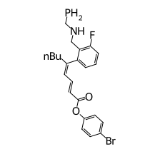 CCCCC(=CC=CC(=O)Oc1ccc(Br)cc1)c1cccc(F)c1CNCP